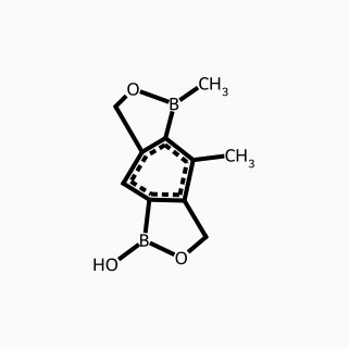 CB1OCc2cc3c(c(C)c21)COB3O